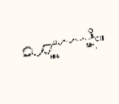 Br.NC(CCCCCCOc1ccc(Cc2ccccc2)cc1)C(=O)O